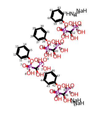 O=P(O)(O)C(O)P(=O)(O)Oc1ccccc1.O=P(O)(O)C(O)P(=O)(O)Oc1ccccc1.O=P(O)(O)C(O)P(=O)(O)Oc1ccccc1.O=P(O)(O)C(O)P(=O)(O)Oc1ccccc1.[NaH].[NaH].[NaH].[NaH]